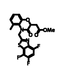 COC(=O)CC1Oc2cccc(C)c2N(Cc2nc3c(F)cc(F)c(F)c3s2)C1=O